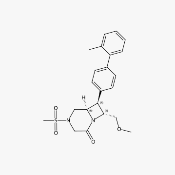 COC[C@H]1[C@H](c2ccc(-c3ccccc3C)cc2)[C@@H]2CN(S(C)(=O)=O)CC(=O)N12